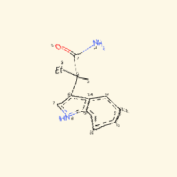 CCC(C)(C(N)=O)c1c[nH]c2ccccc12